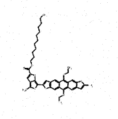 CCCCCCCCCCCCOC(=O)c1cc2c(C)sc(-c3cc4cc5c(OCC)c6cc7sc(C)cc7cc6c(OCC)c5cc4s3)c2s1